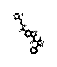 Cc1onc(-c2ccccc2)c1C(=O)c1c[nH]c2cc(C(=O)NCCC3CN=CN3)ccc12